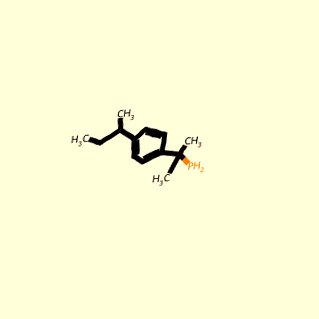 CCC(C)c1ccc(C(C)(C)P)cc1